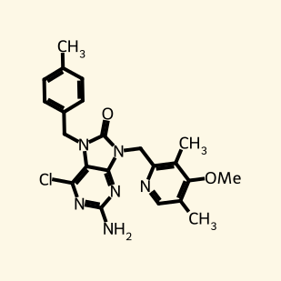 COc1c(C)cnc(Cn2c(=O)n(Cc3ccc(C)cc3)c3c(Cl)nc(N)nc32)c1C